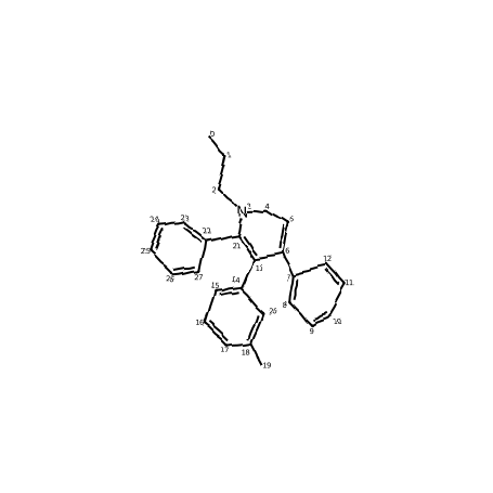 CCCN1CC=C(c2ccccc2)C(c2cccc(C)c2)=C1c1ccccc1